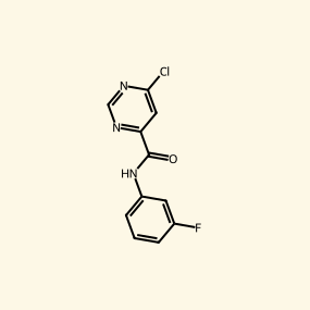 O=C(Nc1cccc(F)c1)c1cc(Cl)ncn1